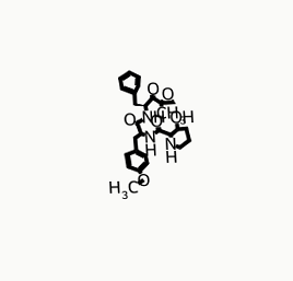 COc1ccc(CC(NC(=O)C2NCCCC2O)C(=O)N[C@@H](Cc2ccccc2)C(=O)C2(C)CO2)cc1